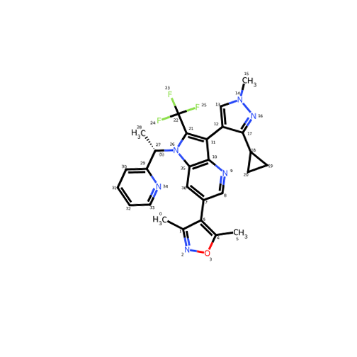 Cc1noc(C)c1-c1cnc2c(-c3cn(C)nc3C3CC3)c(C(F)(F)F)n([C@@H](C)c3ccccn3)c2c1